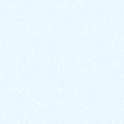 CCCCCn1c(-c2cccc3nc(NCc4ccco4)sc23)nc2cc(C(=O)OC)ccc21